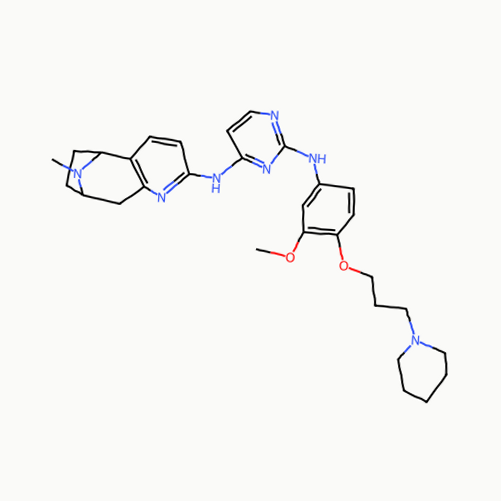 COc1cc(Nc2nccc(Nc3ccc4c(n3)CC3CCC4N3C)n2)ccc1OCCCN1CCCCC1